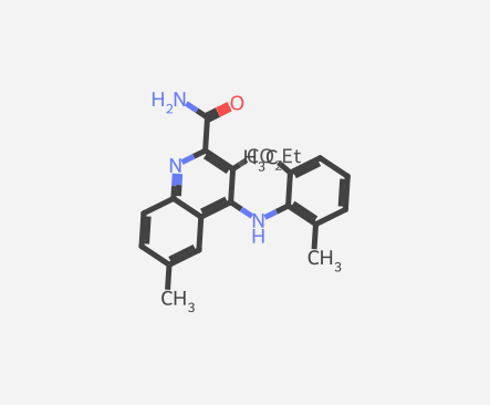 CCOC(=O)c1c(C(N)=O)nc2ccc(C)cc2c1Nc1c(C)cccc1C